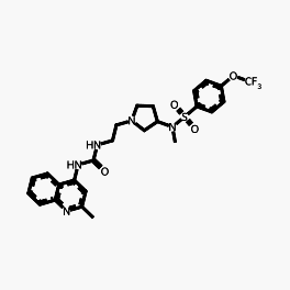 Cc1cc(NC(=O)NCCN2CCC(N(C)S(=O)(=O)c3ccc(OC(F)(F)F)cc3)C2)c2ccccc2n1